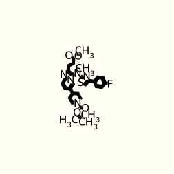 COC(=O)CCc1nc2ccc(C3CCN(C(=O)OC(C)(C)C)CC3)cn2c1N(C)c1nc(-c2ccc(F)cc2)cs1